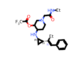 CCNC(=O)CN1CCC(N[C@@H]2C[C@H]2/C(=C/c2ccccc2)CC)C(OC(=O)C(F)(F)F)C1